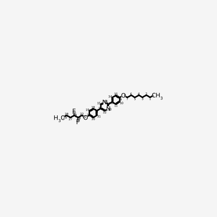 CCCCCCCCOc1ccc(-c2ncc(-c3ccc(OC[C@H](F)[C@@H](F)CCC)cc3)cn2)cc1